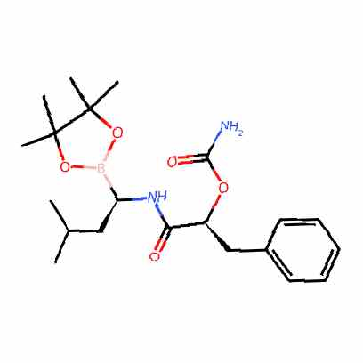 CC(C)C[C@H](NC(=O)[C@H](Cc1ccccc1)OC(N)=O)B1OC(C)(C)C(C)(C)O1